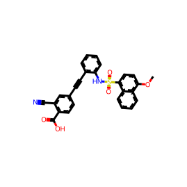 COc1ccc(S(=O)(=O)Nc2ccccc2C#Cc2ccc(C(=O)O)c(C#N)c2)c2ccccc12